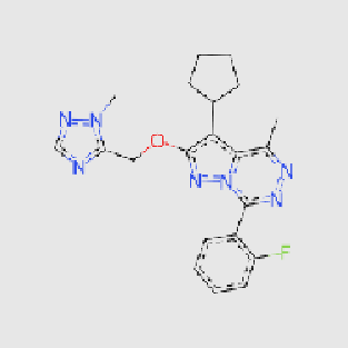 Cc1nnc(-c2ccccc2F)n2nc(OCc3ncnn3C)c(C3CCCC3)c12